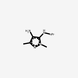 CC[CH]Nc1c(N)c(C)nn1C